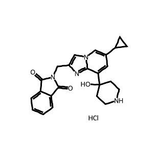 Cl.O=C1c2ccccc2C(=O)N1Cc1cn2cc(C3CC3)cc(C3(O)CCNCC3)c2n1